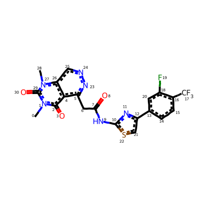 Cn1c(=O)c2c(CC(=O)Nc3nc(-c4ccc(C(F)(F)F)c(F)c4)cs3)nncc2n(C)c1=O